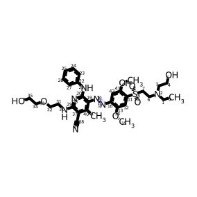 CCN(CCO)CCS(=O)(=O)c1cc(OC)c(/N=N/c2c(Nc3ccccc3)nc(NCCOCCO)c(C#N)c2C)cc1OC